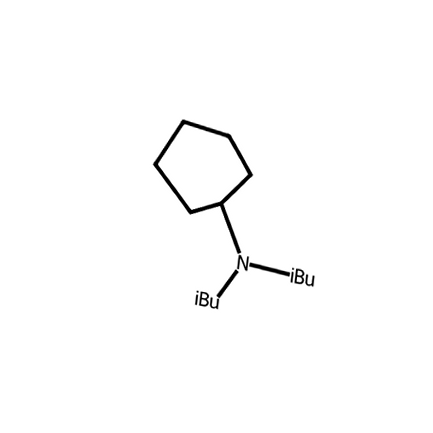 CCC(C)N(C(C)CC)C1CCCCC1